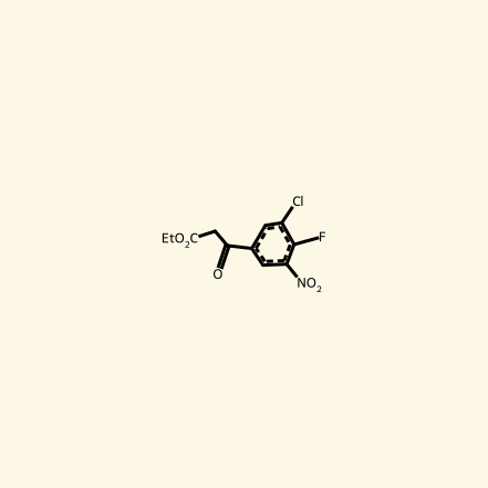 CCOC(=O)CC(=O)c1cc(Cl)c(F)c([N+](=O)[O-])c1